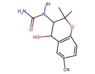 CC(C)N(C(N)=O)C1C(O)c2cc(C#N)ccc2OC1(C)C